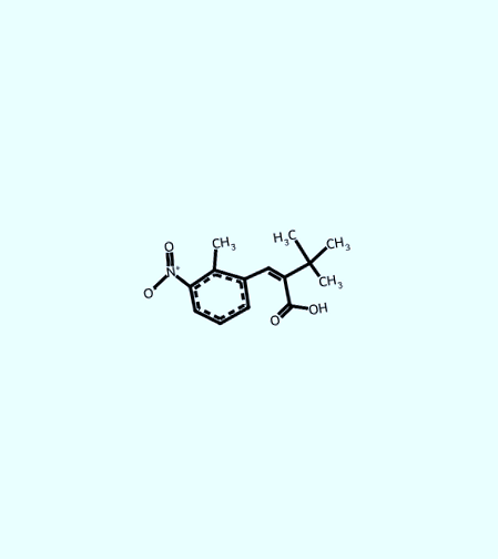 Cc1c(C=C(C(=O)O)C(C)(C)C)cccc1[N+](=O)[O-]